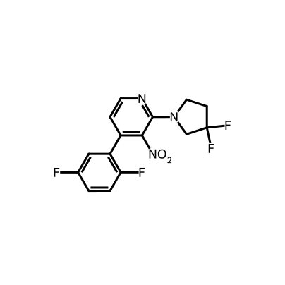 O=[N+]([O-])c1c(-c2cc(F)ccc2F)ccnc1N1CCC(F)(F)C1